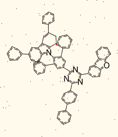 c1cccc(-c2cc(-c3nc(-c4ccc(-c5ccccc5)cc4)nc(-c4ccc5oc6ccccc6c5c4)n3)cc(-c3ccccc3)c2-n2c3c(c4cc(-c5ccccc5)ccc42)C=C(c2ccccc2)CC3)c#1